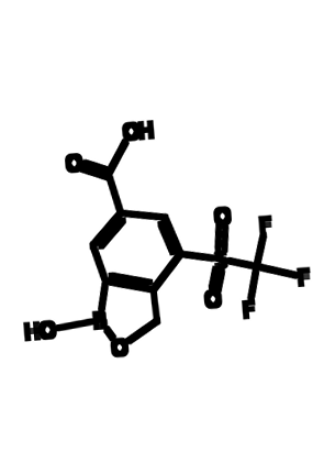 O=C(O)c1cc2c(c(S(=O)(=O)C(F)(F)F)c1)COB2O